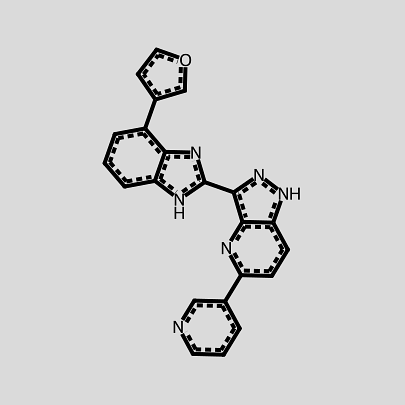 c1cncc(-c2ccc3[nH]nc(-c4nc5c(-c6ccoc6)cccc5[nH]4)c3n2)c1